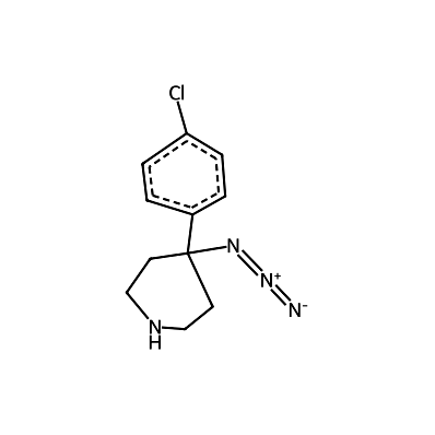 [N-]=[N+]=NC1(c2ccc(Cl)cc2)CCNCC1